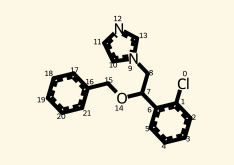 Clc1ccccc1C(Cn1ccnc1)OCc1ccccc1